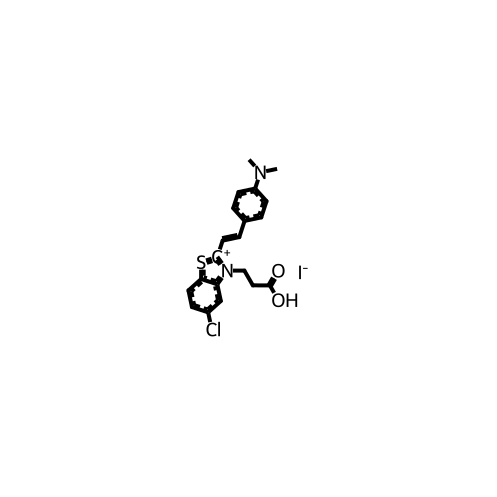 CN(C)c1ccc(C=C[c+]2sc3ccc(Cl)cc3n2CCC(=O)O)cc1.[I-]